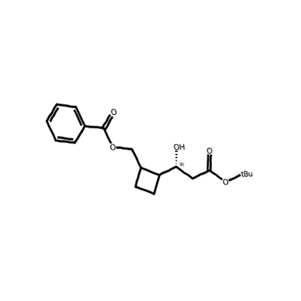 CC(C)(C)OC(=O)C[C@@H](O)C1CCC1COC(=O)c1ccccc1